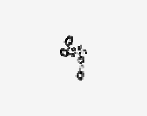 O=C(Cl)C(C(=O)OC(c1ccccc1)c1ccccc1)c1ccc(OCc2ccccc2)cc1